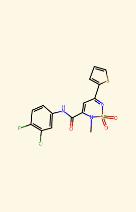 CN1C(C(=O)Nc2ccc(F)c(Cl)c2)=CC(c2cccs2)=NS1(=O)=O